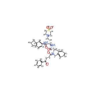 O=C(CCC(=O)N1Cc2ccccc2C[C@H]1C(=O)N[C@@H](CCN1CCS(=O)(=O)CC1)C(=O)Nc1ccc2c(c1)CCC2)c1ccccc1